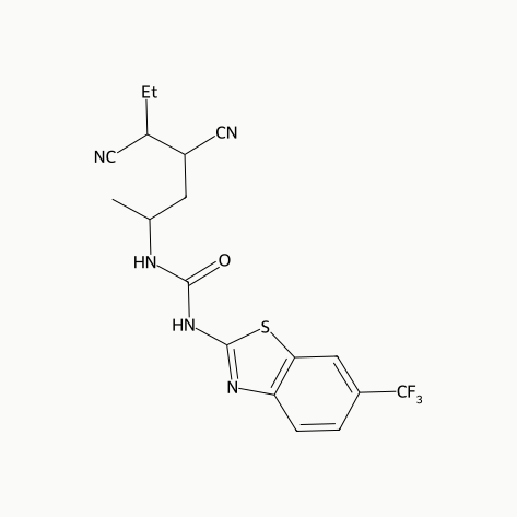 CCC(C#N)C(C#N)CC(C)NC(=O)Nc1nc2ccc(C(F)(F)F)cc2s1